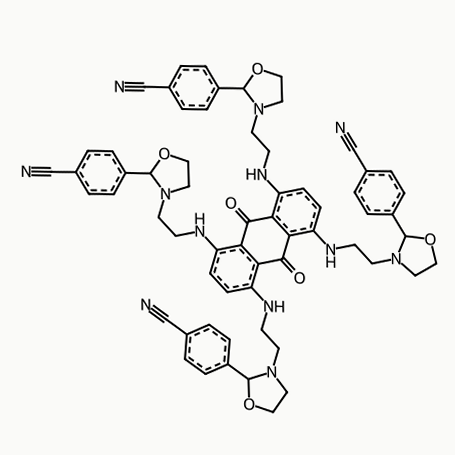 N#Cc1ccc(C2OCCN2CCNc2ccc(NCCN3CCOC3c3ccc(C#N)cc3)c3c2C(=O)c2c(NCCN4CCOC4c4ccc(C#N)cc4)ccc(NCCN4CCOC4c4ccc(C#N)cc4)c2C3=O)cc1